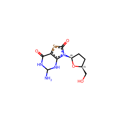 NC1NC(=O)c2sc(=O)n([C@H]3CC[C@@H](CO)O3)c2N1